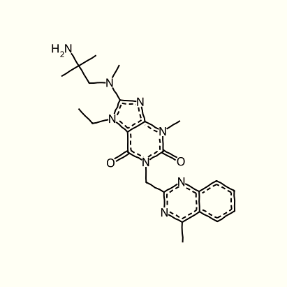 CCn1c(N(C)CC(C)(C)N)nc2c1c(=O)n(Cc1nc(C)c3ccccc3n1)c(=O)n2C